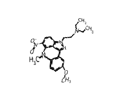 CCN(CC)CCn1nc2c3c(c([N+](=O)[O-])ccc31)N(C)c1ccc(OC)cc1-2